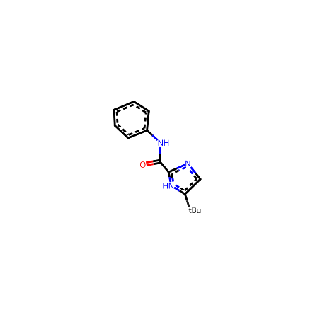 CC(C)(C)c1cnc(C(=O)Nc2ccccc2)[nH]1